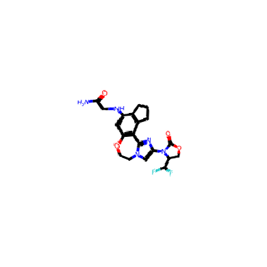 NC(=O)CNc1cc2c(c3c1CCC3)-c1nc(N3C(=O)OCC3C(F)F)cn1CCO2